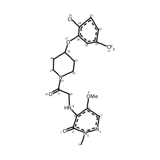 COc1cnn(C)c(=O)c1NCC(=O)N1CCC(Oc2cc(C(F)(F)F)ccc2Cl)CC1